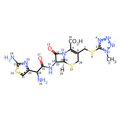 Cn1nnnc1SCC1=C(C(=O)O)N2C(=O)[C@H](NC(=O)C(N)c3csc(N)n3)[C@@H]2SC1